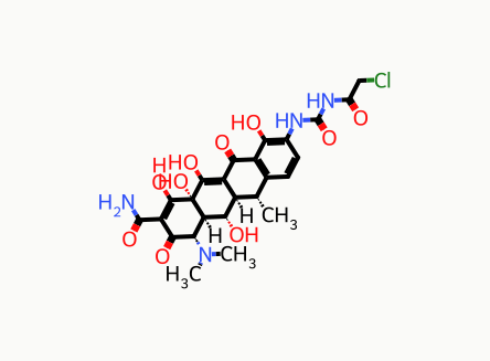 C[C@H]1c2ccc(NC(=O)NC(=O)CCl)c(O)c2C(=O)C2=C(O)[C@]3(O)C(O)=C(C(N)=O)C(=O)[C@@H](N(C)C)[C@@H]3[C@@H](O)[C@@H]21